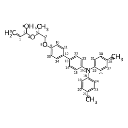 C=CC(O)OC(C)COc1ccc(-c2ccc(N(c3ccc(C)cc3)c3ccc(C)cc3)cc2)cc1